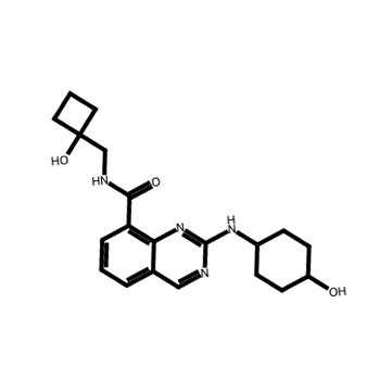 O=C(NCC1(O)CCC1)c1cccc2cnc(NC3CCC(O)CC3)nc12